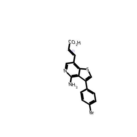 Nc1ncc(/C=C/C(=O)O)c2scc(-c3ccc(Br)cc3)c12